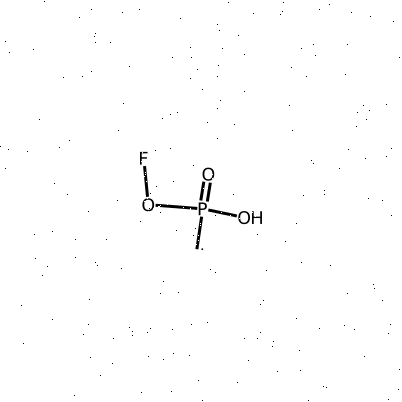 [CH2]P(=O)(O)OF